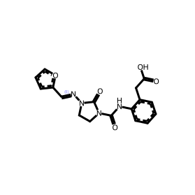 O=C(O)Cc1ccccc1NC(=O)N1CCN(/N=C/c2ccco2)C1=O